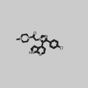 CN1CCN(C(=O)Cn2cnc(-c3ccc(Cl)cc3)c2-c2ccnc3[nH]ccc23)CC1